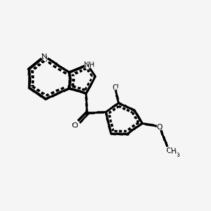 COc1ccc(C(=O)c2c[nH]c3ncccc23)c(Cl)c1